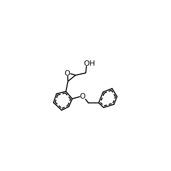 OCC1OC1c1ccccc1OCc1ccccc1